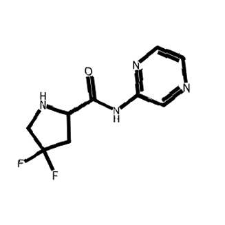 O=C(Nc1cnccn1)C1CC(F)(F)CN1